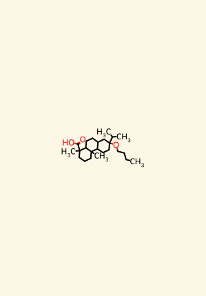 CCCCOC1(C(C)C)CCC2C(CCC3C(C)(C(=O)O)CCCC23C)C1